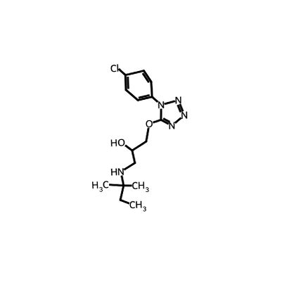 CCC(C)(C)NCC(O)COc1nnnn1-c1ccc(Cl)cc1